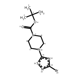 CC(C)(C)OC(=O)N1CCN(c2nc(Br)ns2)CC1